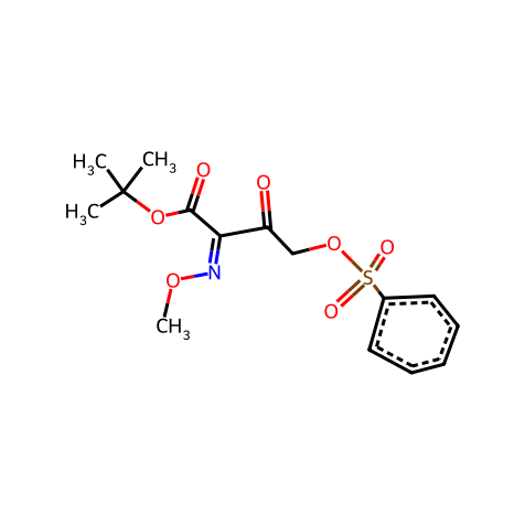 CON=C(C(=O)COS(=O)(=O)c1ccccc1)C(=O)OC(C)(C)C